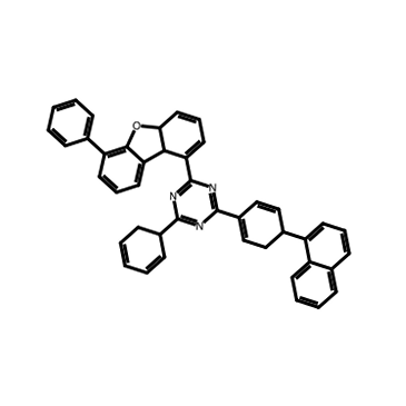 C1=CCC(c2nc(C3=CCC(c4cccc5ccccc45)C=C3)nc(C3=CC=CC4Oc5c(-c6ccccc6)cccc5C34)n2)C=C1